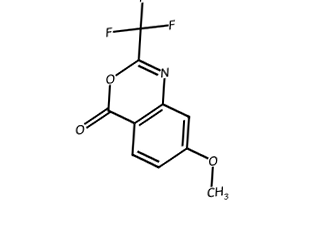 COc1ccc2c(=O)oc(C(F)(F)F)nc2c1